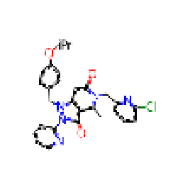 Cc1c2c(=O)n(-c3ccccn3)n(Cc3ccc(OC(C)C)cc3)c2cc(=O)n1Cc1cccc(Cl)n1